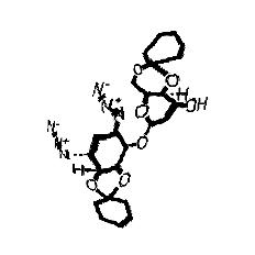 [N-]=[N+]=NC1C[C@@H](N=[N+]=[N-])[C@H]2OC3(CCCCC3)OC2[C@@H]1O[C@@H]1C=C(O)[C@@H]2OC3(CCCCC3)OCC2O1